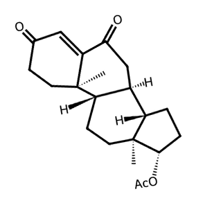 CC(=O)O[C@H]1CC[C@H]2[C@@H]3CC(=O)C4=CC(=O)CC[C@]4(C)[C@H]3CC[C@]12C